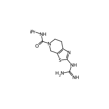 CC(C)NC(=O)N1CCc2nc(NC(=N)N)sc2C1